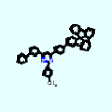 Cc1ccc(-c2nc(-c3ccc(-c4ccc5c(c4)-c4ccccc4C54c5ccccc5-c5ccccc54)cc3)cc(-c3cccc(-c4ccccc4)c3)n2)cc1